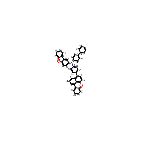 c1ccc(-c2ccc(N(c3ccc(-c4ccc5c6c(cccc46)-c4ccccc4O5)cc3)c3ccc4oc5ccccc5c4c3)cc2)cc1